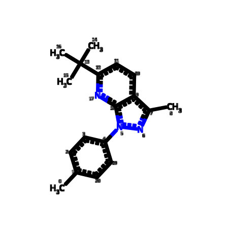 Cc1ccc(-n2nc(C)c3ccc(C(C)(C)C)nc32)cc1